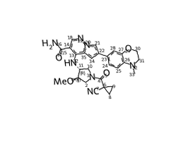 CO[C@@H]1CN(C(=O)C2(C#N)CC2)C[C@H]1Nc1c(C(N)=O)cnn2cc(-c3ccc4c(c3)OCCN4C)cc12